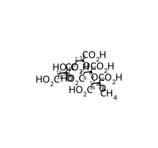 C.O=C(O)CC(=O)C(=O)O.O=C(O)CC(=O)C(=O)O.O=C(O)CC(=O)C(=O)O.O=C(O)CC(=O)C(=O)O